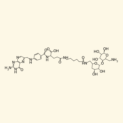 NCC1O[C@H](O)C(O)[C@@H](O)[C@@H]1O[C@H]1OC(CNC(=O)CCCCCNC(=O)CCC(NC(=O)c2ccc(NCc3cnc4nc(N)[nH]c(=O)c4n3)cc2)C(=O)O)C[C@H](O)C1O